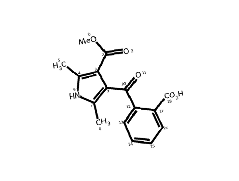 COC(=O)c1c(C)[nH]c(C)c1C(=O)c1ccccc1C(=O)O